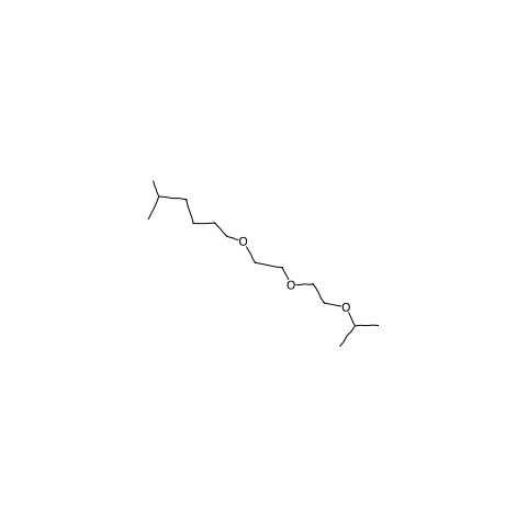 CC(C)CCCCOCCOCCOC(C)C